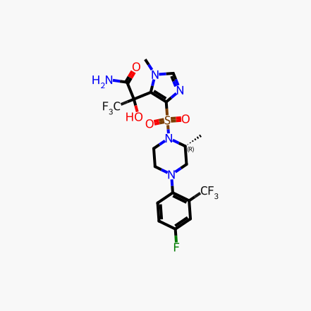 C[C@@H]1CN(c2ccc(F)cc2C(F)(F)F)CCN1S(=O)(=O)c1ncn(C)c1C(O)(C(N)=O)C(F)(F)F